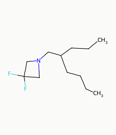 CCCCC(CCC)CN1CC(F)(F)C1